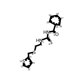 O=C(NC(=S)NCCSCc1cccs1)c1ccccc1